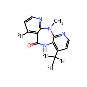 [2H]c1ccnc2c1C(=O)Nc1c(C([2H])([2H])[2H])ccnc1N2C